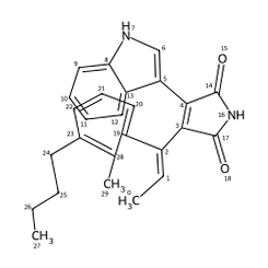 C/C=C(/C1=C(c2c[nH]c3ccccc23)C(=O)NC1=O)c1cccc(CCCC)c1C